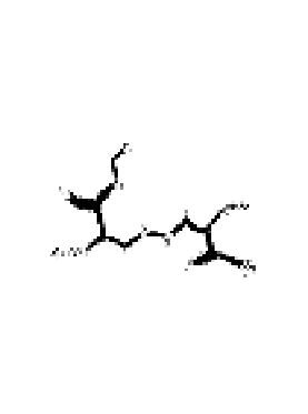 CC(=O)NC(CSSCC(NC(C)=O)C(=O)SCF)C(=O)S